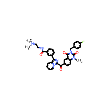 CN(C)CCNC(=O)c1cccc(-c2nc(C(=O)c3ccc4c(c3)c(=O)n(Cc3ccc(F)cc3)c(=O)n4C)n3ccccc23)c1